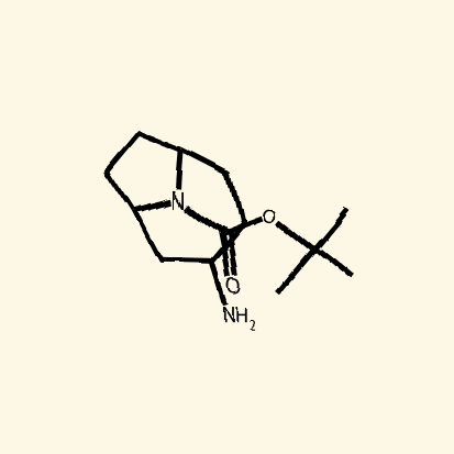 CC(C)(C)OC(=O)N1C2CCC(N)CC1CC2